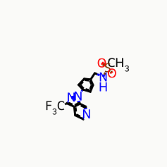 CS(=O)(=O)NCc1ccc(-n2nc(C(F)(F)F)c3ccncc32)cc1